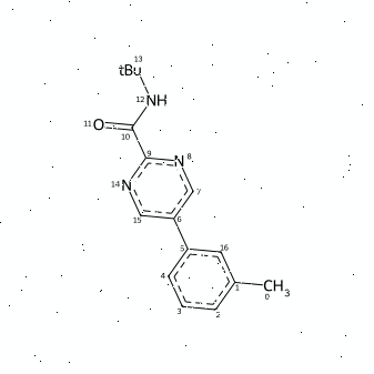 Cc1cccc(-c2cnc(C(=O)NC(C)(C)C)nc2)c1